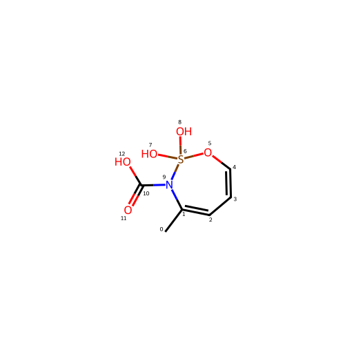 CC1=CC=COS(O)(O)N1C(=O)O